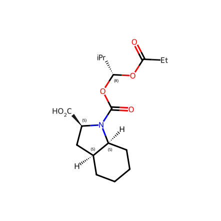 CCC(=O)O[C@H](OC(=O)N1[C@H](C(=O)O)C[C@@H]2CCCC[C@@H]21)C(C)C